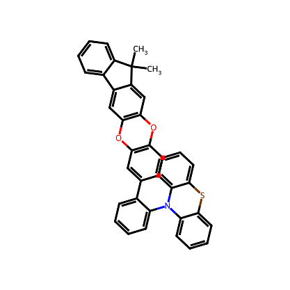 CC1(C)c2ccccc2-c2cc3c(cc21)Oc1ccc(-c2ccccc2N2c4ccccc4Sc4ccccc42)cc1O3